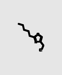 CCCCCc1nc(CCl)co1